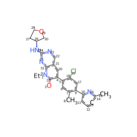 CCn1c(=O)c(-c2cc(C)c(-c3cccc(C)n3)cc2Cl)cc2cnc(N[C@H]3CCOC3)nc21